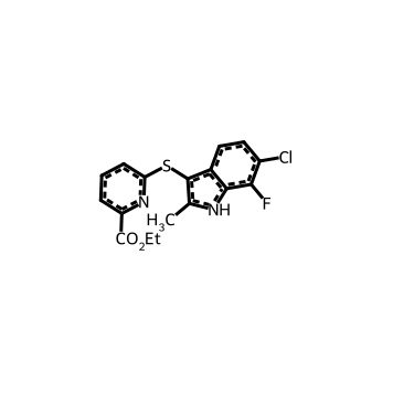 CCOC(=O)c1cccc(Sc2c(C)[nH]c3c(F)c(Cl)ccc23)n1